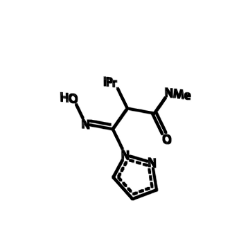 CNC(=O)C(C(=NO)n1cccn1)C(C)C